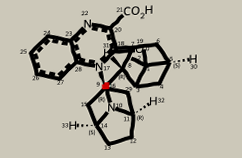 CC1(C)C2C[C@@H]1CC[C@H]2CN1[C@@H]2CC[C@H]1C[C@@H](n1c(=O)c(C(=O)O)nc3ccccc31)C2